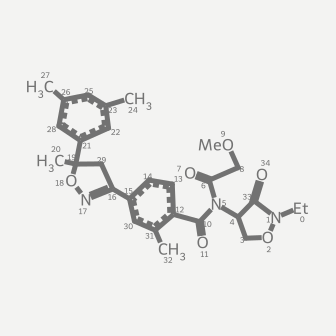 CCN1OCC(N(C(=O)COC)C(=O)c2ccc(C3=NOC(C)(c4cc(C)cc(C)c4)C3)cc2C)C1=O